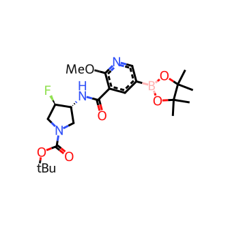 COc1ncc(B2OC(C)(C)C(C)(C)O2)cc1C(=O)N[C@@H]1CN(C(=O)OC(C)(C)C)C[C@H]1F